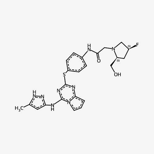 Cc1cc(Nc2nc(Sc3ccc(NC(=O)CN4C[C@@H](F)C[C@H]4CO)cc3)nc3cccn23)n[nH]1